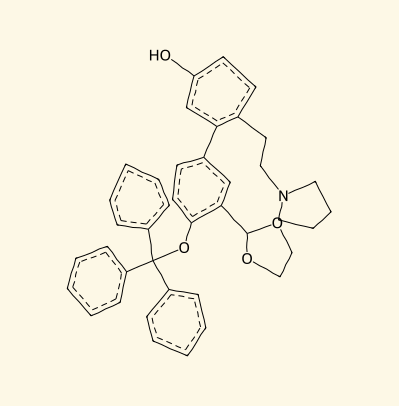 Oc1ccc(CCN2CCCC2)c(-c2ccc(OC(c3ccccc3)(c3ccccc3)c3ccccc3)c(C3OCCO3)c2)c1